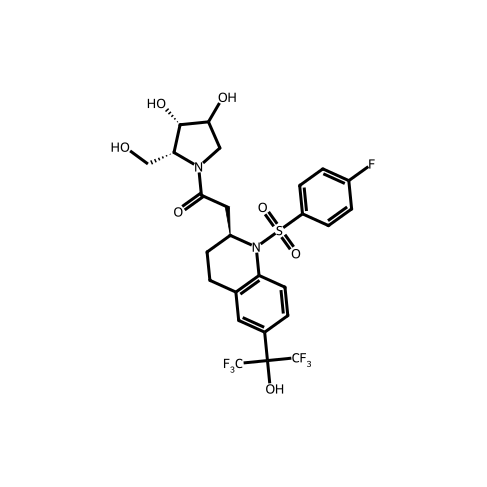 O=C(C[C@@H]1CCc2cc(C(O)(C(F)(F)F)C(F)(F)F)ccc2N1S(=O)(=O)c1ccc(F)cc1)N1CC(O)[C@@H](O)[C@H]1CO